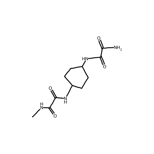 CNC(=O)C(=O)NC1CCC(NC(=O)C(N)=O)CC1